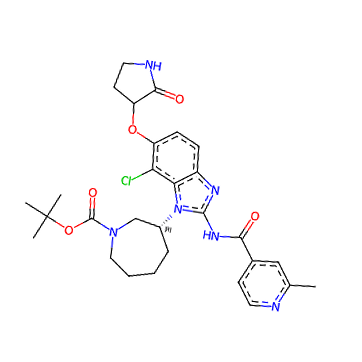 Cc1cc(C(=O)Nc2nc3ccc(OC4CCNC4=O)c(Cl)c3n2[C@@H]2CCCCN(C(=O)OC(C)(C)C)C2)ccn1